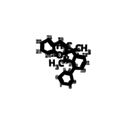 CN1c2c(-c3ccccc3)cccc2C(C)(C)C12C=Cc1ccccc1O2